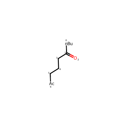 CCCCC(=O)CCCC(C)=O